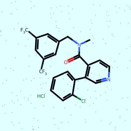 CN(Cc1cc(C(F)(F)F)cc(C(F)(F)F)c1)C(=O)c1ccncc1-c1ccccc1Cl.Cl